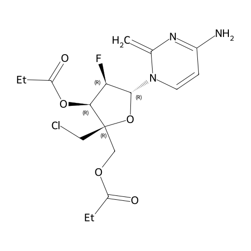 C=C1N=C(N)C=CN1[C@@H]1O[C@](CCl)(COC(=O)CC)[C@@H](OC(=O)CC)[C@H]1F